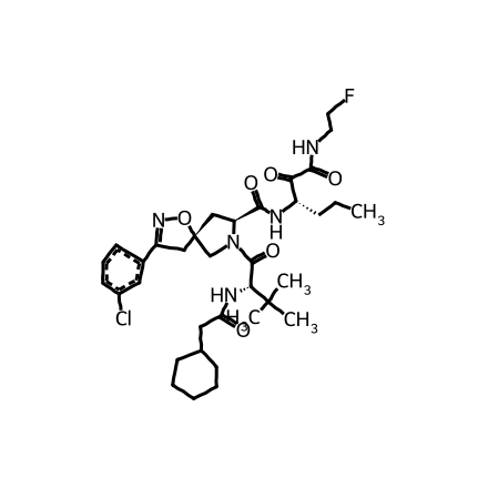 CCC[C@H](NC(=O)[C@@H]1C[C@]2(CC(c3cccc(Cl)c3)=NO2)CN1C(=O)[C@@H](NC(=O)CC1CCCCC1)C(C)(C)C)C(=O)C(=O)NCCF